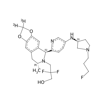 [2H]C1([2H])Oc2cc3c(cc2O1)[C@@H](c1ccc(N[C@H]2CCN(CCCF)C2)cn1)N(CC(F)(F)CO)[C@H](C)C3